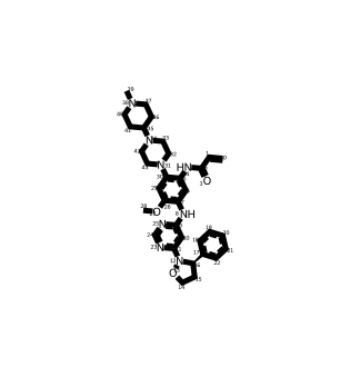 C=CC(=O)Nc1cc(Nc2cc(N3OCC[C@@H]3c3ccccc3)ncn2)c(OC)cc1N1CCN(C2CCN(C)CC2)CC1